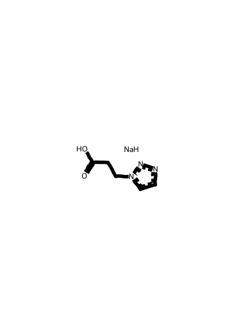 O=C(O)CCn1ccnn1.[NaH]